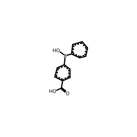 O=C(O)c1ccc(B(O)c2ccccc2)cc1